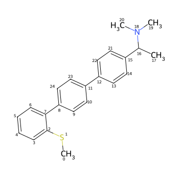 CSc1ccccc1-c1ccc(-c2ccc(C(C)N(C)C)cc2)cc1